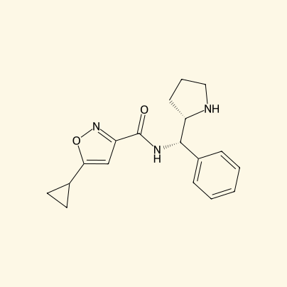 O=C(N[C@@H](c1ccccc1)[C@@H]1CCCN1)c1cc(C2CC2)on1